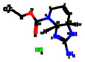 Cl.NC1=N[C@H]2[C@H](C=CCN2C(=O)OCC(Cl)(Cl)Cl)N1